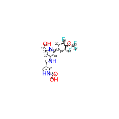 CC(CNC(=O)O)CNc1cc(CO)nc(-c2ccc(OC(F)(F)F)c(F)c2)c1